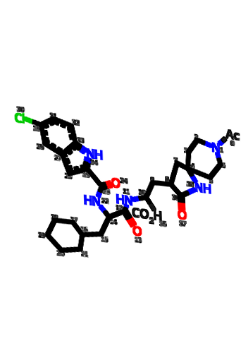 CC(=O)N1CCC2(CC1)CC(CC(NC(=O)C(CC1CCCCC1)NC(=O)c1cc3cc(Cl)ccc3[nH]1)C(=O)O)C(=O)N2